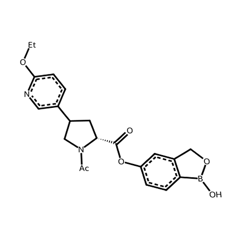 CCOc1ccc(C2C[C@H](C(=O)Oc3ccc4c(c3)COB4O)N(C(C)=O)C2)cn1